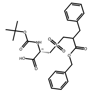 CC(C)(C)OC(=O)N[C@H](CS(=O)(=O)CC(Cc1ccccc1)C(=O)OCc1ccccc1)C(=O)O